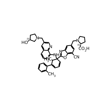 Cc1ccccc1C1=CC=CC(Nc2nccc3cc(CN4CC[C@H](O)C4)cnc23)(c2nc3cc(CN4CCC[C@H]4C(=O)O)cc(C#N)c3o2)C1C